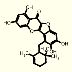 CC1=CCCC(C)(C)C1Cc1c(O)c(O)cc2oc3c(=O)c4c(O)cc(O)cc4oc3c12